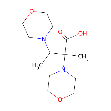 CC(N1CCOCC1)C(C)(C(=O)O)N1CCOCC1